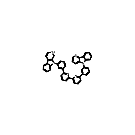 C1=Cc2c(n(-c3cccc(-c4cccc(-c5cccc(-c6cccc(-n7c8ccccc8c8ncccc87)c6)n5)n4)c3)c3ccccc23)CN1